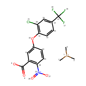 C[S+](C)C.O=C([O-])c1cc(Oc2ccc(C(F)(F)F)cc2Cl)ccc1[N+](=O)[O-]